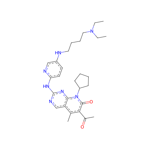 CCN(CC)CCCCNc1ccc(Nc2ncc3c(C)c(C(C)=O)c(=O)n(C4CCCC4)c3n2)nc1